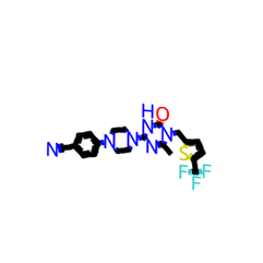 CC1=NC(N2CCN(c3ccc(C#N)cc3)CC2)NC(=O)N1Cc1ccc(C(F)(F)F)s1